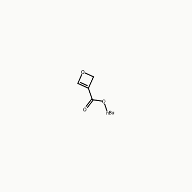 CCCCOC(=O)C1=COC1